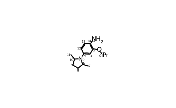 CC(C)Oc1cc(N2C(C)CCC2C)ccc1N